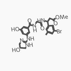 COC(=O)CC(NC(=O)CNC(=O)c1cc(O)cc(NC2=NCC(O)CN2)c1)c1cc(C)cc(Br)c1